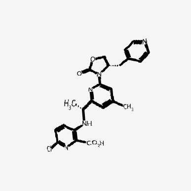 Cc1cc([C@@H](C)Nc2ccc(Cl)nc2C(=O)O)nc(N2C(=O)OC[C@@H]2Cc2ccncc2)c1